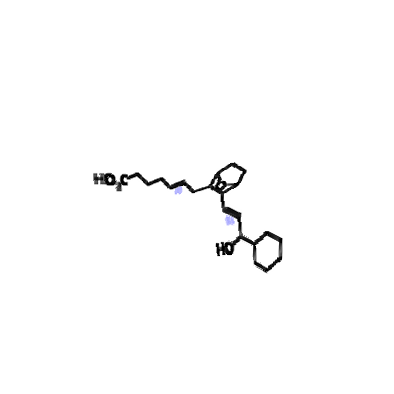 O=C(O)CCC/C=C/CC1C2CCC(O2)C1/C=C/C(O)C1CCCCC1